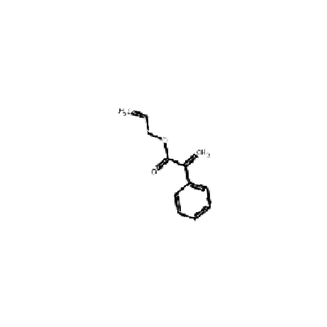 C=CCOC(=O)C(=C)c1ccccc1